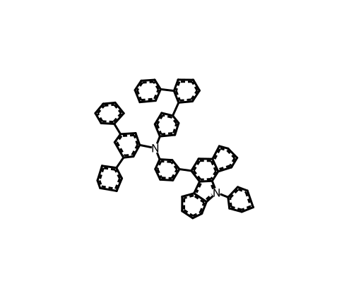 c1ccc(-c2cc(-c3ccccc3)cc(N(c3ccc(-c4ccccc4-c4ccccc4)cc3)c3cccc(-c4cc5ccccc5c5c4c4ccccc4n5-c4ccccc4)c3)c2)cc1